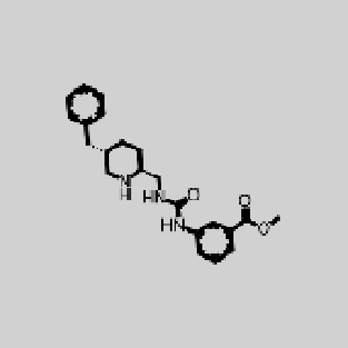 COC(=O)c1cccc(NC(=O)NC[C@@H]2CC[C@@H](Cc3ccccc3)CN2)c1